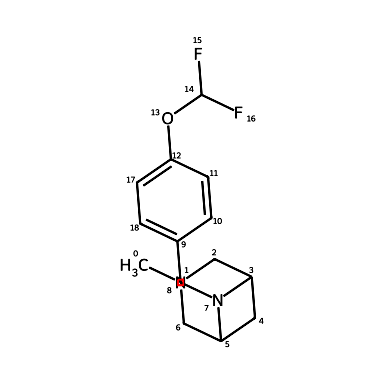 CN1CC2CC(C1)N2Cc1ccc(OC(F)F)cc1